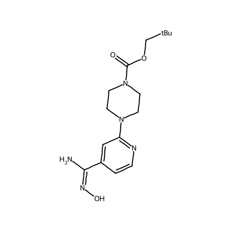 CC(C)(C)COC(=O)N1CCN(c2cc(/C(N)=N\O)ccn2)CC1